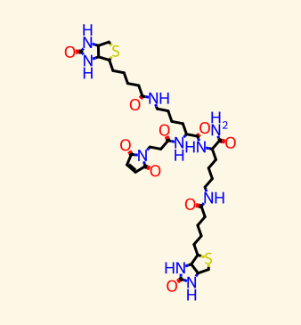 NC(=O)C(CCCCNC(=O)CCCCC1SCC2NC(=O)NC21)NC(=O)C(CCCCNC(=O)CCCCC1SCC2NC(=O)NC21)NC(=O)CCN1C(=O)C=CC1=O